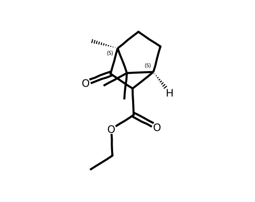 CCOC(=O)C1C(=O)[C@@]2(C)CC[C@@H]1C2(C)C